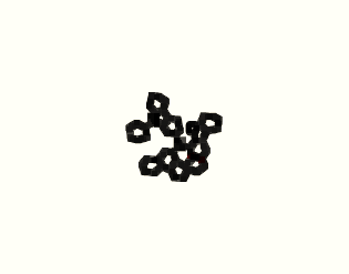 c1ccc(-n2c3ccccc3c3ccc(N(c4cccc5c4oc4ccccc45)c4cc5ccccc5c5ccc6ccccc6c45)cc32)cc1